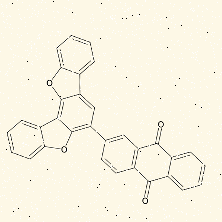 O=C1c2ccccc2C(=O)c2cc(-c3cc4c5ccccc5oc4c4c3oc3ccccc34)ccc21